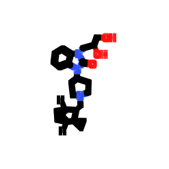 O=c1n(C[C@H](O)CO)c2ccccc2n1C1CCN(C[C@@H]2[C@H]3CC[C@H](C3)C23CC3)CC1